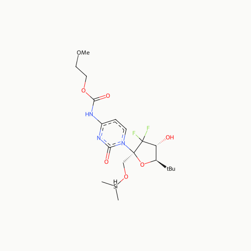 COCCOC(=O)Nc1ccn([C@]2(CO[SiH](C)C)O[C@H](C(C)(C)C)[C@@H](O)C2(F)F)c(=O)n1